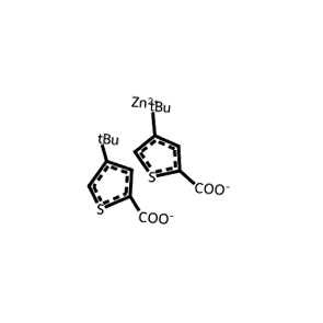 CC(C)(C)c1csc(C(=O)[O-])c1.CC(C)(C)c1csc(C(=O)[O-])c1.[Zn+2]